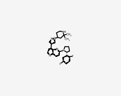 CC1(C)CC(n2cc(-c3ccnc4ccc(N5CCC[C@@H]5c5cc(F)ccc5F)nc34)cn2)CCN1